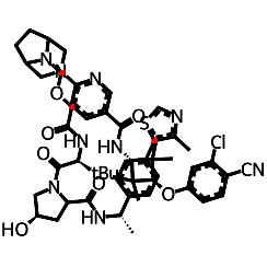 Cc1ncsc1-c1ccc([C@H](C)NC(=O)C2C[C@@H](O)CN2C(=O)[C@@H](NC(=O)COCN2C3CCC2CN(c2ccc(C(=O)N[C@H]4C(C)(C)[C@H](Oc5ccc(C#N)c(Cl)c5)C4(C)C)cn2)C3)C(C)(C)C)cc1